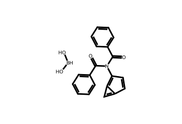 O=C(c1ccccc1)N(C(=O)c1ccccc1)c1ccc2cc1-2.OBO